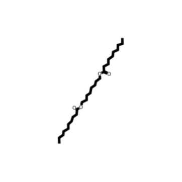 CCCCCCCCCC(=O)OCCCCCCCCOC(=O)CCCCCCCCC